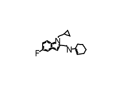 Fc1ccc2c(c1)cc(/C=N/C1=CCCCC1)n2CC1CC1